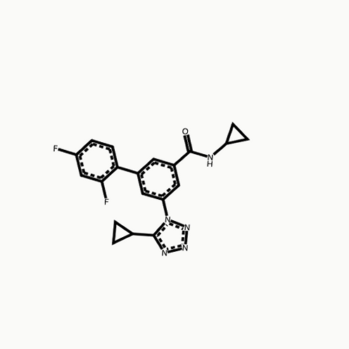 O=C(NC1CC1)c1cc(-c2ccc(F)cc2F)cc(-n2nnnc2C2CC2)c1